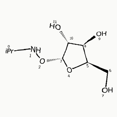 CC(C)NO[C@H]1O[C@H](CO)[C@H](O)[C@H]1O